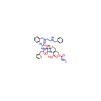 CO[C@@]1(NC(=O)Cc2cccs2)C(=O)N2C(C(=O)O)=C(COC(N)=O)CS[C@@H]21.c1ccc(CNCCNCc2ccccc2)cc1